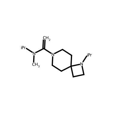 C=C(N1CCC2(CC1)CCN2C(C)C)N(C)C(C)C